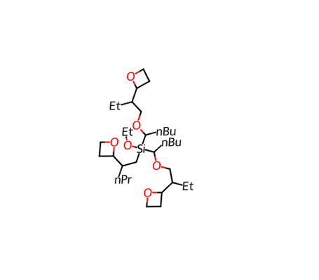 CCCCC(OCC(CC)C1CCO1)[Si](CC(CCC)C1CCO1)(OCC)C(CCCC)OCC(CC)C1CCO1